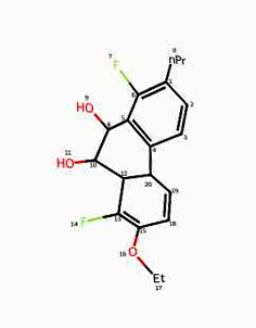 CCCc1ccc2c(c1F)C(O)C(O)C1C(F)=C(OCC)C=CC21